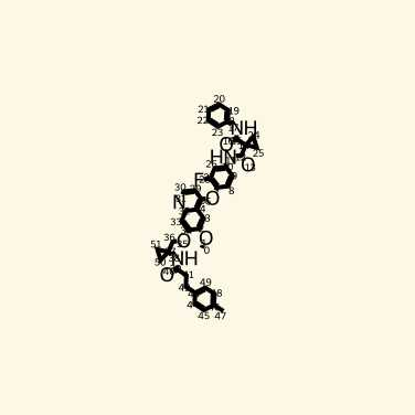 COc1cc2c(Oc3ccc(NC(=O)C4(C(=O)Nc5ccccc5)CC4)cc3F)ccnc2cc1OCC1(NC(=O)CCc2ccc(C)cc2)CC1